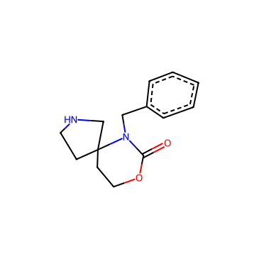 O=C1OCCC2(CCNC2)N1Cc1ccccc1